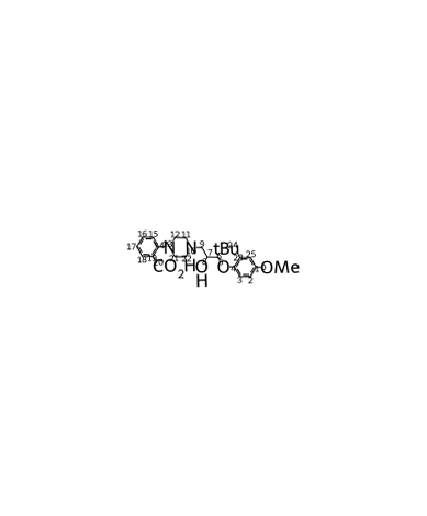 COc1ccc(OCC(O)CN2CCN(c3ccccc3C(=O)O)CC2)c(C(C)(C)C)c1